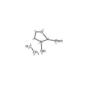 CC.CCCC(C)C1OCCN1O